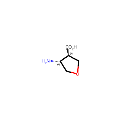 N[C@H]1COC[C@@H]1C(=O)O